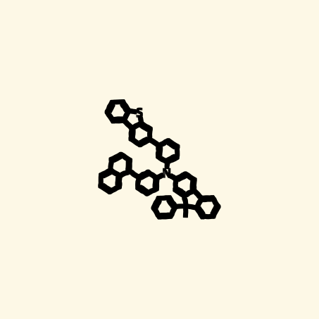 CC1(c2ccccc2)c2ccccc2-c2ccc(N(c3cccc(-c4ccc5c(c4)sc4ccccc45)c3)c3cccc(-c4cccc5ccccc45)c3)cc21